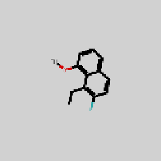 [2H]Oc1cccc2ccc(F)c(CC)c12